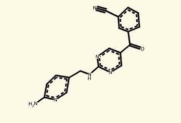 N#Cc1cccc(C(=O)c2cnc(NCc3ccc(N)nc3)nc2)c1